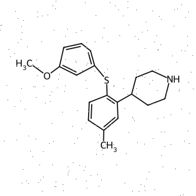 COc1cccc(Sc2ccc(C)cc2C2CCNCC2)c1